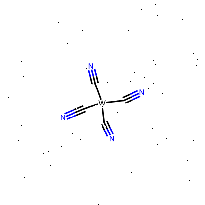 N#[C][W]([C]#N)([C]#N)[C]#N